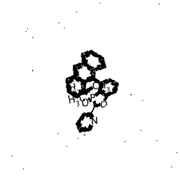 CC(C)(C)[P@]1(=O)c2c(cccc2-c2c3ccccc3cc3ccccc23)O[C@H]1c1ccccn1